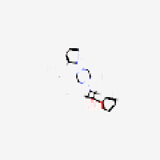 CC1(C)C(N2CCN(c3ncccc3C(=O)O)CC2)C(C)(C)C1(O)c1ccccc1